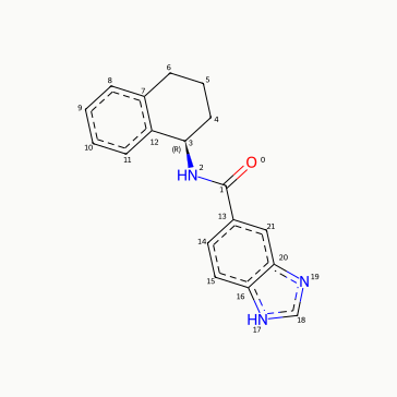 O=C(N[C@@H]1CCCc2ccccc21)c1ccc2[nH]cnc2c1